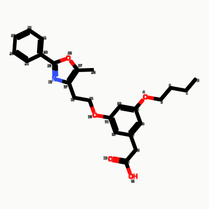 CCCCOc1cc(CC(=O)O)cc(OCCc2nc(-c3ccccc3)oc2C)c1